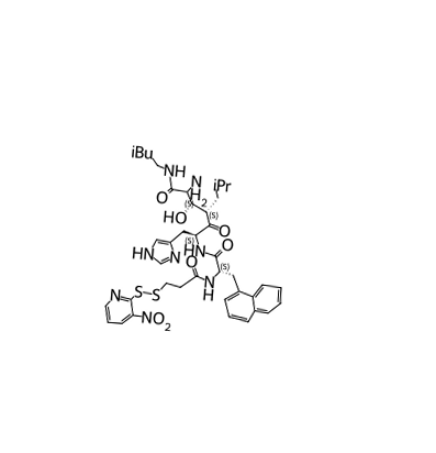 CCC(C)CNC(=O)C(N)[C@@H](O)[C@H](CC(C)C)C(=O)[C@H](Cc1c[nH]cn1)NC(=O)[C@H](Cc1cccc2ccccc12)NC(=O)CCSSc1ncccc1[N+](=O)[O-]